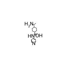 CC(N)C1CCC([C@H](O)Nc2ccncc2)CC1